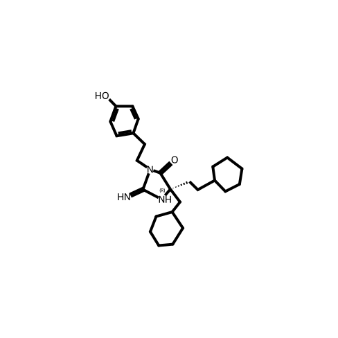 N=C1N[C@](CCC2CCCCC2)(CC2CCCCC2)C(=O)N1CCc1ccc(O)cc1